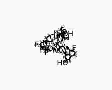 C#Cc1c(F)ccc2cc(O)cc(N3CCc4c(nc(OC[C@]5(C(F)(F)F)C[C@@H](F)CN5C5CCOCC5)nc4N4C[C@H]5CC(O)[C@@H](C4)N5C(=O)C=C)C3)c12